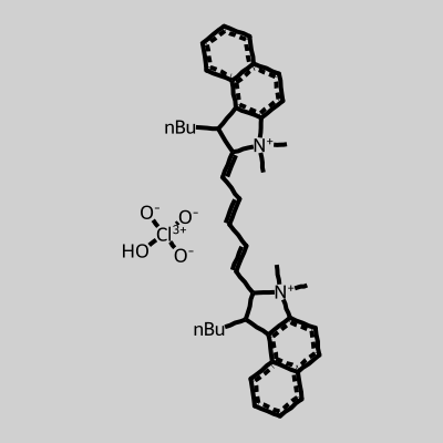 CCCCC1C(=CC=CC=CC2C(CCCC)c3c(ccc4ccccc34)[N+]2(C)C)[N+](C)(C)c2ccc3ccccc3c21.[O-][Cl+3]([O-])([O-])O